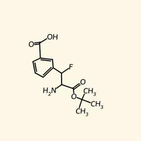 CC(C)(C)OC(=O)C(N)C(F)c1cccc(C(=O)O)c1